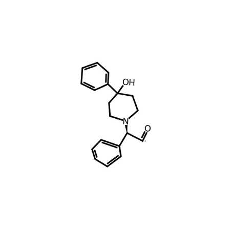 O=[C][C@@H](c1ccccc1)N1CCC(O)(c2ccccc2)CC1